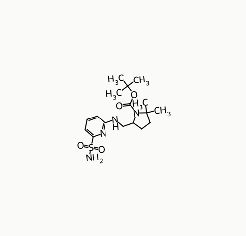 CC(C)(C)OC(=O)N1C(CNc2cccc(S(N)(=O)=O)n2)CCC1(C)C